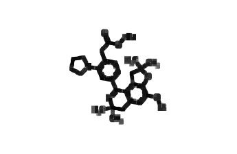 CCCCOC(=O)Cc1ccc(C2=NC(C)(C)Cc3cc(OCC)c4c(c32)CC(C)(C)O4)cc1N1CCCC1